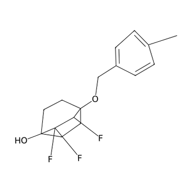 Cc1ccc(COC23CCC(O)(CC2)C(F)(F)C3F)cc1